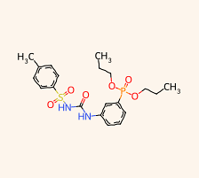 CCCOP(=O)(OCCC)c1cccc(NC(=O)NS(=O)(=O)c2ccc(C)cc2)c1